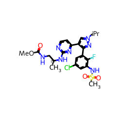 COC(=O)NC[C@H](C)Nc1nccc(-c2cn(C(C)C)nc2-c2cc(Cl)cc(NS(C)(=O)=O)c2F)n1